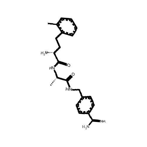 Cc1ccccc1CC[C@@H](N)C(=O)N[C@@H](C)C(=O)NCc1ccc(C(=N)N)cc1